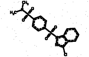 CN(C)S(=O)(=O)c1ccc(S(=O)(=O)n2nc(Cl)c3ccccc32)cc1